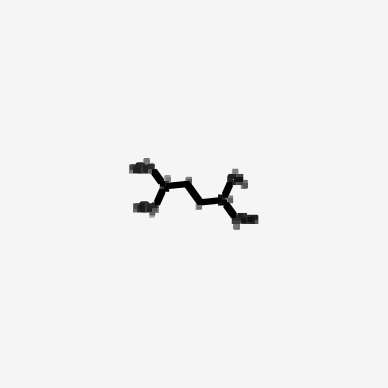 CCCCCCCCCN(C)CCN(CCCCCCCC)CCCCCCCC